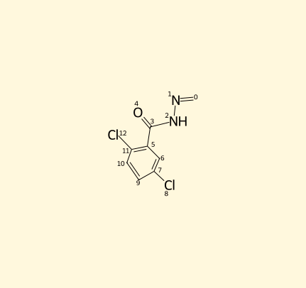 C=NNC(=O)c1cc(Cl)ccc1Cl